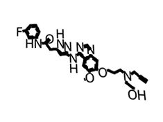 C#CCN(CCO)CCCOc1cc2ncnc(Nc3cc(CC(=O)Nc4cccc(F)c4)[nH]n3)c2cc1OC